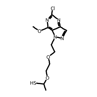 COc1nc(Cl)nc2cnn(CCOCCOC(C)S)c12